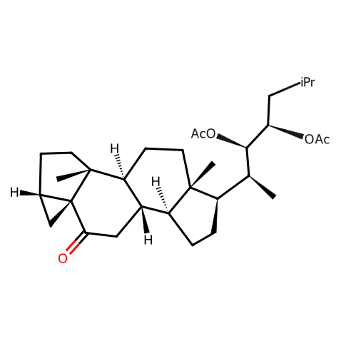 CC(=O)O[C@H]([C@@H](C)[C@H]1CC[C@H]2[C@@H]3CC(=O)[C@]45C[C@@H]4CC[C@]5(C)[C@H]3CC[C@]12C)[C@@H](CC(C)C)OC(C)=O